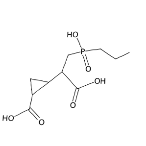 CCCP(=O)(O)CC(C(=O)O)C1CC1C(=O)O